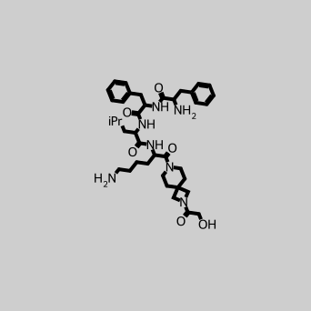 CC(C)CC(NC(=O)C(Cc1ccccc1)NC(=O)C(N)Cc1ccccc1)C(=O)NC(CCCCN)C(=O)N1CCC2(CC1)CN(C(=O)CO)C2